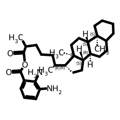 CC(CCC[C@@H](C)[C@H]1CC[C@H]2[C@@H]3CCC4CCCC[C@]4(C)[C@H]3CC[C@]12C)C(=O)OC(=O)c1cccc(N)c1N